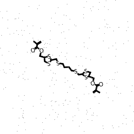 C=C(C)C(=O)OCC1CSC(CSCCCCSCC2SCC(COC(=O)C(=C)C)S2)S1